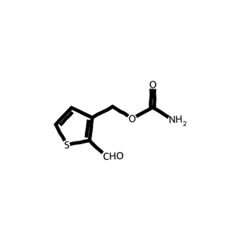 NC(=O)OCc1ccsc1C=O